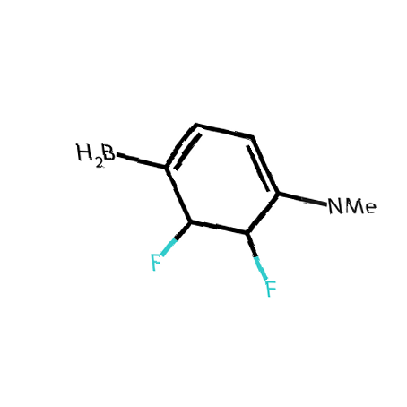 BC1=CC=C(NC)C(F)C1F